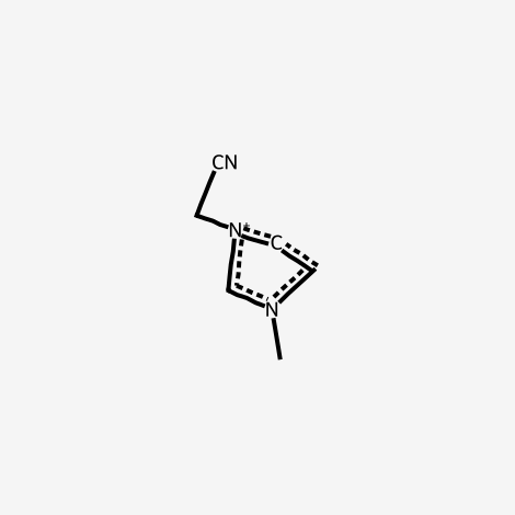 Cn1cc[n+](CC#N)c1